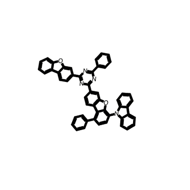 c1ccc(-c2nc(-c3ccc4c(c3)oc3ccccc34)nc(-c3ccc4c(c3)oc3c(-n5c6ccccc6c6ccccc65)ccc(-c5ccccc5)c34)n2)cc1